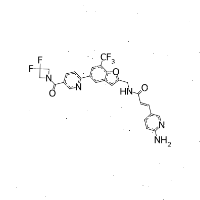 Nc1ccc(/C=C/C(=O)NCc2cc3cc(-c4ccc(C(=O)N5CC(F)(F)C5)cn4)cc(C(F)(F)F)c3o2)cn1